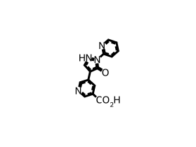 O=C(O)c1cncc(-c2c[nH]n(-c3ccccn3)c2=O)c1